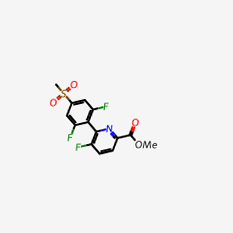 COC(=O)c1ccc(F)c(-c2c(F)cc(S(C)(=O)=O)cc2F)n1